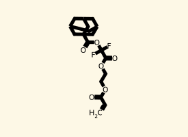 C=CC(=O)OCCOC(=O)C(F)(F)OC(=O)C12CC3CC(CC(C3)C1)C2